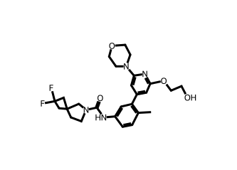 Cc1ccc(NC(=O)N2CCC3(C2)CC(F)(F)C3)cc1-c1cc(OCCO)nc(N2CCOCC2)c1